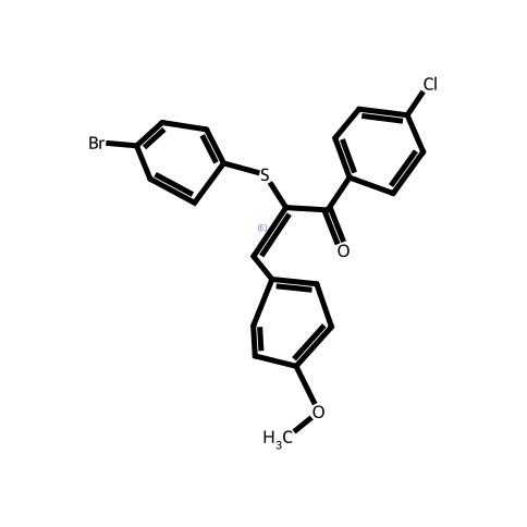 COc1ccc(/C=C(/Sc2ccc(Br)cc2)C(=O)c2ccc(Cl)cc2)cc1